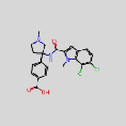 CN1CCC(NC(=O)c2cc3ccc(Cl)c(Cl)c3n2C)(c2ccc(C(=O)O)cc2)C1